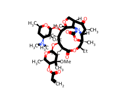 C=CC(=O)O[C@H]1[C@H](C)O[C@@H](O[C@H]2[C@H](C)[C@@H](O[C@@H]3O[C@H](C)C[C@H](N(C)C)[C@H]3OC(C)=O)[C@]3(C)OC[C@H]4C(=O)[C@H](C)[C@H]5N(C(=O)O[C@]5(C)[C@@H](CC)OC(=O)[C@@H]2C)C43)C[C@@]1(C)OC